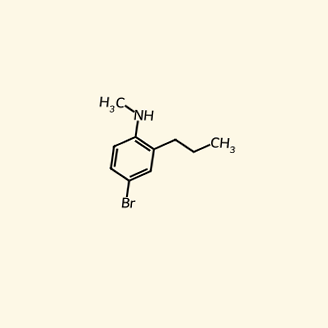 CCCc1cc(Br)ccc1NC